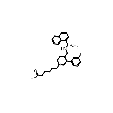 C[C@@H](NCC1CCN(CCCCCC(=O)O)CC1c1cccc(F)c1)c1cccc2ccccc12